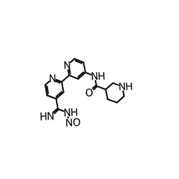 N=C(NN=O)c1ccnc(-c2cc(NC(=O)C3CCCNC3)ccn2)c1